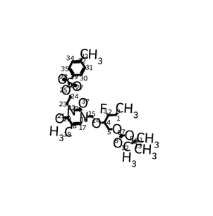 CC[C@H](F)C(COC(=O)OC(C)(C)C)OCn1cc(C)c(=O)n(CCOS(=O)(=O)c2ccc(C)cc2)c1=O